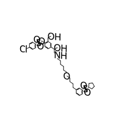 O=S(=O)(Oc1ccc([C@@H](O)CNCCCCCCOCCCCc2cccc(S(=O)(=O)C3CCCC3)c2)cc1CO)c1ccc(Cl)cc1